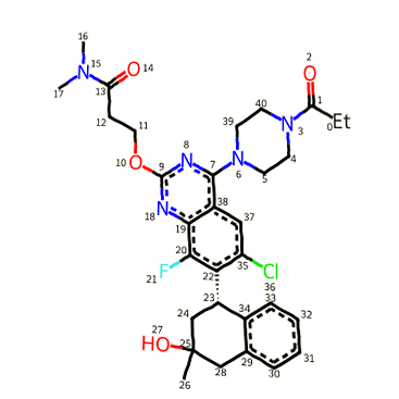 CCC(=O)N1CCN(c2nc(OCCC(=O)N(C)C)nc3c(F)c([C@H]4CC(C)(O)Cc5ccccc54)c(Cl)cc23)CC1